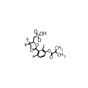 C=C(C)C(=O)Oc1ccc(I)c(C(=O)OC(CS(=O)(=O)O)C(F)(F)F)c1I